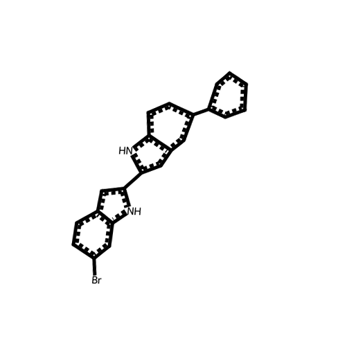 Brc1ccc2cc(-c3cc4cc(-c5ccccc5)ccc4[nH]3)[nH]c2c1